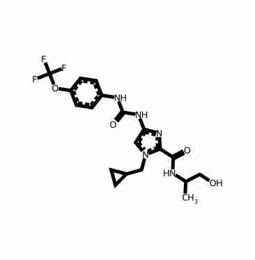 CC(CO)NC(=O)c1nc(NC(=O)Nc2ccc(OC(F)(F)F)cc2)cn1CC1CC1